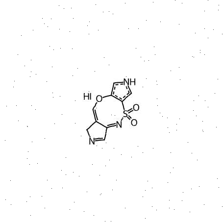 I.O=S1(=O)N=C2C=NCC2=COc2c[nH]cc21